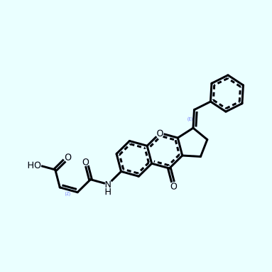 O=C(O)/C=C\C(=O)Nc1ccc2oc3c(c(=O)c2c1)CC/C3=C\c1ccccc1